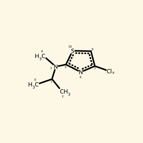 CC(C)N(C)c1nc(Cl)cs1